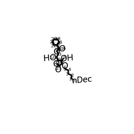 CCCCCCCCCCCCCCCOC1=C(O)[C@@H]([C@@H](O)COC(=O)c2ccccc2)OC1=O